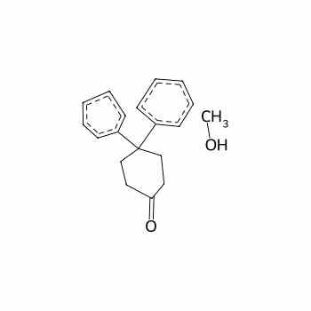 CO.O=C1CCC(c2ccccc2)(c2ccccc2)CC1